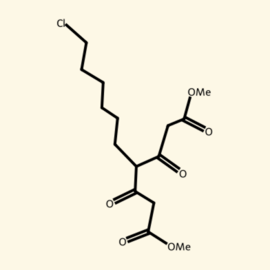 COC(=O)CC(=O)C(CCCCCCCl)C(=O)CC(=O)OC